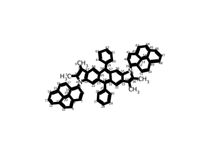 Cc1c(C)n(-c2ccc3ccc4cccc5ccc2c3c45)c2cc3c(-c4ccccc4)c4cc5c(C)c(C)n(-c6ccc7ccc8cccc9ccc6c7c89)c5cc4c(-c4ccccc4)c3cc12